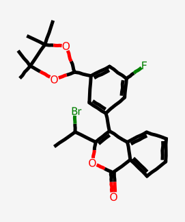 CC(Br)c1oc(=O)c2ccccc2c1-c1cc(F)cc(C2OC(C)(C)C(C)(C)O2)c1